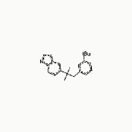 CC(C)(C)c1cccc(CC(C)(C)c2ccc3nccn3c2)c1